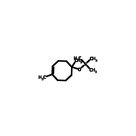 CC1=CCCC(C)(O[Si](C)(C)C)CCC1